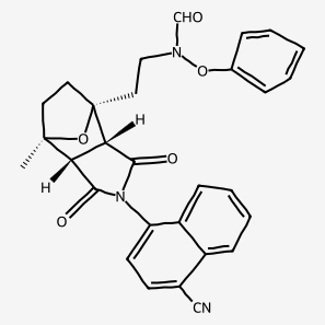 C[C@]12CC[C@](CCN(C=O)Oc3ccccc3)(O1)[C@@H]1C(=O)N(c3ccc(C#N)c4ccccc34)C(=O)[C@@H]12